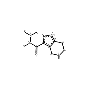 CN(C)N(C)C(=O)c1n[nH]c2c1CNCC2